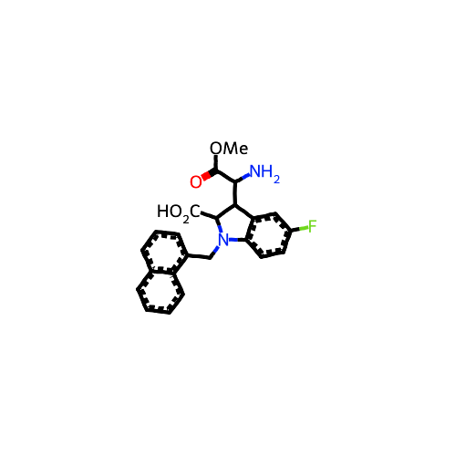 COC(=O)C(N)C1c2cc(F)ccc2N(Cc2cccc3ccccc23)C1C(=O)O